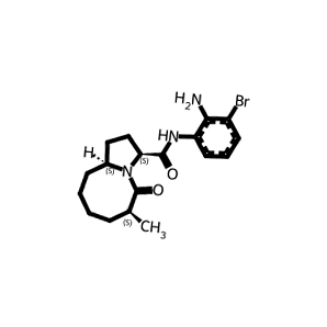 C[C@H]1CCCC[C@H]2CC[C@@H](C(=O)Nc3cccc(Br)c3N)N2C1=O